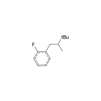 CC(Cc1ccccc1F)C(C)(C)C